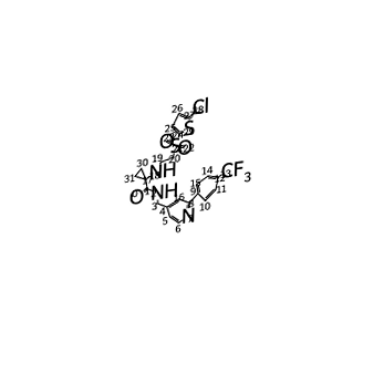 O=C(NCc1ccnc(-c2ccc(C(F)(F)F)cc2)c1)C1(NCCS(=O)(=O)c2ccc(Cl)s2)CC1